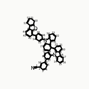 N#Cc1cccc(-c2cccc(-n3c4ccccc4c4cccc(-c5cccc6c5c5ccccc5n6-c5ccc(-c6cccc7c8c(oc67)CCC=C8)cc5)c43)c2)c1